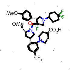 COC[C@@H]1C[C@@H](c2ccc(C(F)(F)F)cc2N2CCC(C(=O)O)CC2)CN1C(=O)[C@]1(F)CN(C2CCC(F)(F)CC2)C[C@H]1c1ccc(OC)cc1